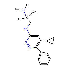 CCN(CC)C(C)(C)CNc1cc(C2CC2)c(-c2ccccc2)nn1